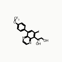 OC[C@H](O)c1c(I)cc(-c2ccc(OC(F)(F)F)cc2)c2nccnc12